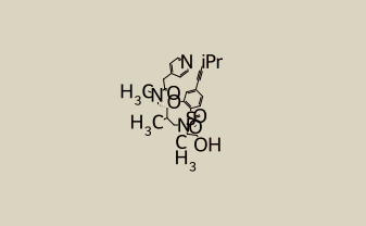 CC(C)C#Cc1ccc2c(c1)O[C@@H](CN(C)C(=O)Cc1ccncc1)[C@H](C)CN([C@@H](C)CO)S2(=O)=O